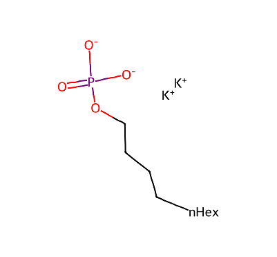 CCCCCCCCCCOP(=O)([O-])[O-].[K+].[K+]